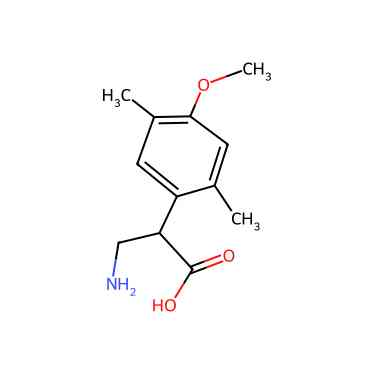 COc1cc(C)c(C(CN)C(=O)O)cc1C